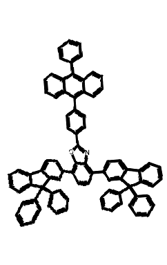 c1ccc(-c2c3ccccc3c(-c3ccc(-c4nc5c(-c6ccc7c(c6)C(c6ccccc6)(c6ccccc6)c6ccccc6-7)ccc(-c6ccc7c(c6)C(c6ccccc6)(c6ccccc6)c6ccccc6-7)c5o4)cc3)c3ccccc23)cc1